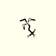 CC[Si](CCC(F)(F)F)(OC)OC